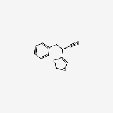 N#CC(Cc1ccccc1)C1=COCO1